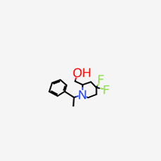 CC(c1ccccc1)N1CCC(F)(F)CC1CO